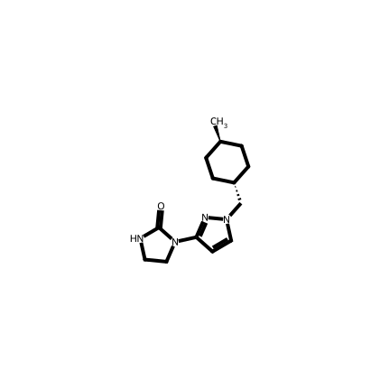 C[C@H]1CC[C@H](Cn2ccc(N3CCNC3=O)n2)CC1